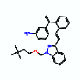 C=C(c1cccc(N)c1)c1ccccc1C=Cc1nn(COCC[Si](C)(C)C)c2ccccc12